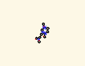 c1ccc(-c2nc(-c3ccccc3)nc(-c3cccc(-n4c5ccc(-c6ccc7c(c6)c6ccccc6n7-c6ccccc6)cc5c5c(-c6ccccc6)nc(-c6ccccc6)nc54)c3)n2)cc1